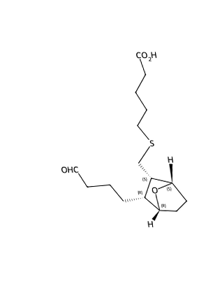 O=CCCC[C@@H]1[C@H](CSCCCCC(=O)O)[C@@H]2CC[C@H]1O2